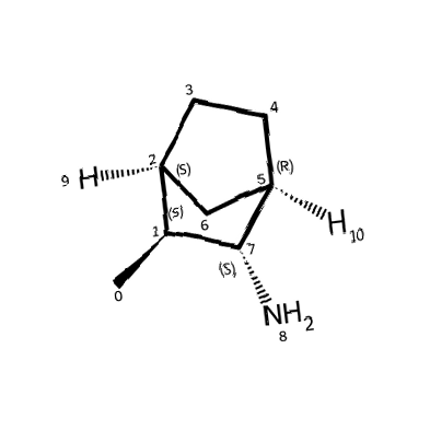 C[C@H]1[C@H]2CC[C@H](C2)[C@@H]1N